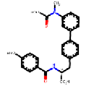 CCCCCCCCC(=O)N(C)c1cccc(-c2ccc(C[C@H](NC(=O)c3ccc(OC)cc3)C(=O)O)cc2)c1